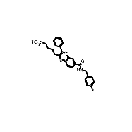 O=C(O)CCCCc1nc2ccc(C(=O)NCc3ccc(F)cc3)cc2nc1-c1ccccc1